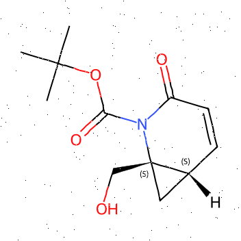 CC(C)(C)OC(=O)N1C(=O)C=C[C@@H]2C[C@@]21CO